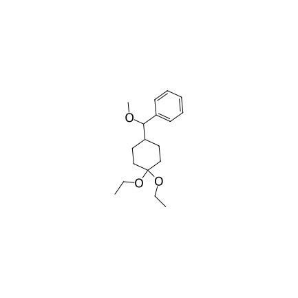 CCOC1(OCC)CCC(C(OC)c2ccccc2)CC1